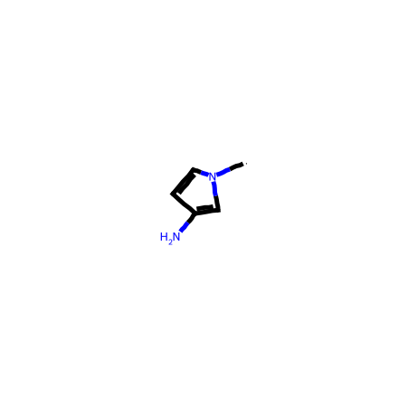 [CH2]n1ccc(N)c1